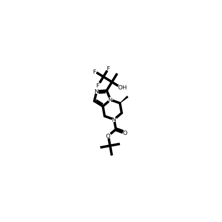 C[C@H]1CN(C(=O)OC(C)(C)C)Cc2cnc(C(C)(O)C(F)(F)F)n21